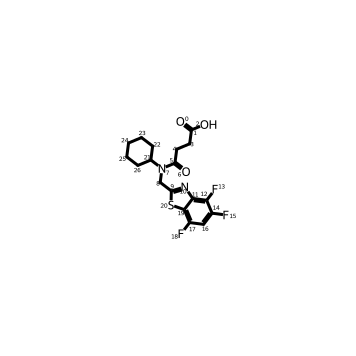 O=C(O)CCC(=O)N(Cc1nc2c(F)c(F)cc(F)c2s1)C1CCCCC1